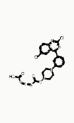 O=C(O)N=C=NC(=O)ON1CCN(c2cccc(-c3nc(Cl)nc4ccc(Cl)cc34)c2)CC1